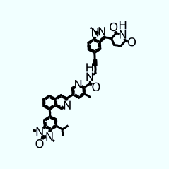 Cc1cc(-c2cc3cccc(-c4cc(C(C)C)c5c(c4)n(C)c(=O)n5C)c3cn2)cnc1C(=O)NCC#Cc1ccc2c(c1)c(C1CCC(=O)NC1=O)nn2C